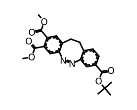 COC(=O)c1cc2c(cc1C(=O)OC)/N=N\c1cc(C(=O)OC(C)(C)C)ccc1CC2